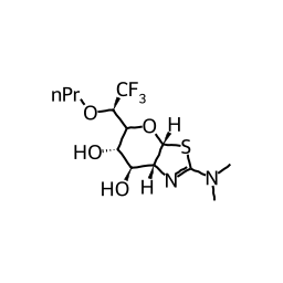 CCCO[C@H](C1O[C@@H]2SC(N(C)C)=N[C@@H]2[C@@H](O)[C@@H]1O)C(F)(F)F